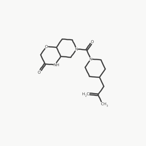 C=C(C)CC1CCN(C(=O)N2CCC3OCC(=O)NC3C2)CC1